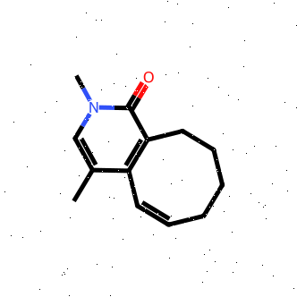 Cc1cn(C)c(=O)c2c1/C=C\CCCC2